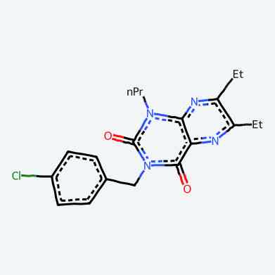 CCCn1c(=O)n(Cc2ccc(Cl)cc2)c(=O)c2nc(CC)c(CC)nc21